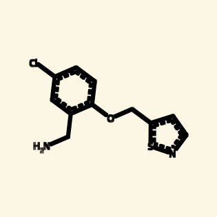 NCc1cc(Cl)ccc1OCc1ccns1